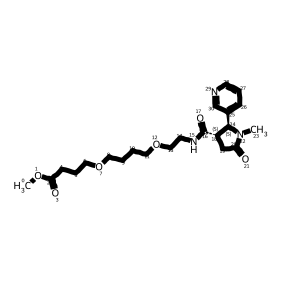 COC(=O)CCCOCCCCOCCNC(=O)[C@H]1CC(=O)N(C)[C@@H]1c1cccnc1